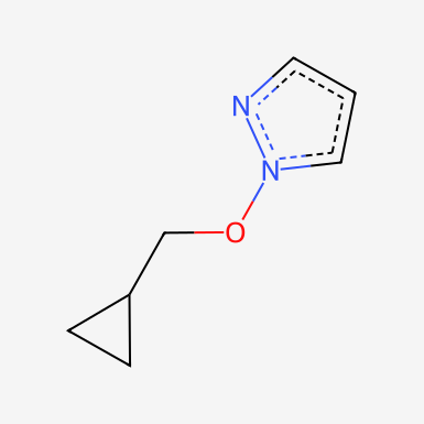 c1cnn(OCC2CC2)c1